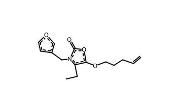 C=CCCCOc1oc(=O)n(Cc2ccoc2)c1CC